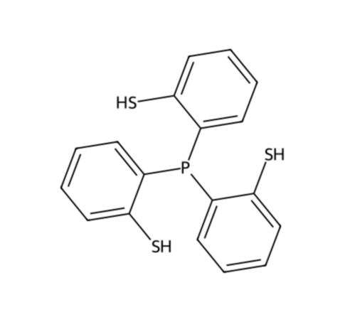 Sc1ccccc1P(c1ccccc1S)c1ccccc1S